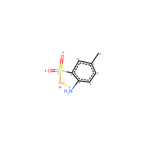 Cc1ccc(N)c(S(=O)(=O)P)c1